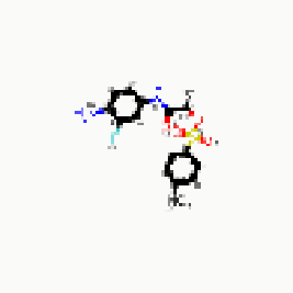 CC[C@@H](OS(=O)(=O)c1ccc([N+](=O)[O-])cc1)C(=O)Nc1ccc(N)c(F)c1